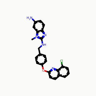 Cn1c(NCc2ccc(Oc3ccc4cccc(Cl)c4n3)cc2)nc2ccc(N)cc21